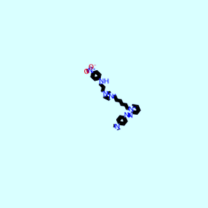 CN(C)c1ccc(/N=N/c2cccc[n+]2CCCCCC[n+]2ccn(CCCNc3ccc([N+](=O)[O-])cc3)c2)cc1